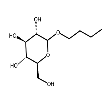 CCCCOC1O[C@@H](CO)[C@H](O)[C@@H](O)[C@@H]1O